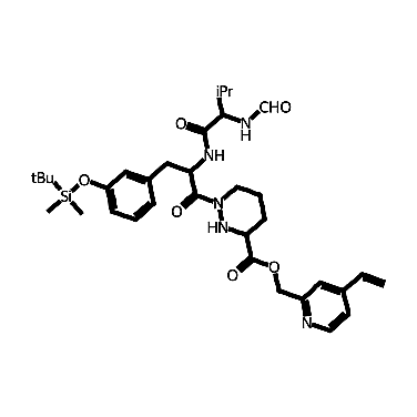 C=Cc1ccnc(COC(=O)C2CCCN(C(=O)C(Cc3cccc(O[Si](C)(C)C(C)(C)C)c3)NC(=O)C(NC=O)C(C)C)N2)c1